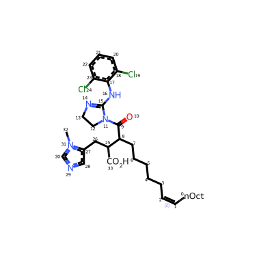 CCCCCCCC/C=C\CCCCCC(C(=O)N1CCN=C1Nc1c(Cl)cccc1Cl)C(Cc1cncn1C)C(=O)O